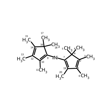 CC1=C(C)C(C)(C)[C]([Ni][C]2=C(C)C(C)=C(C)C2(C)C)=C1C